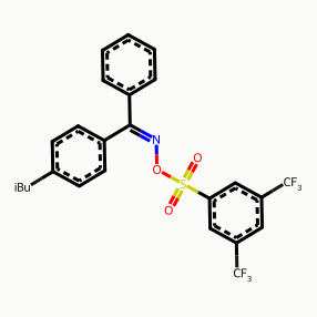 CCC(C)c1ccc(/C(=N\OS(=O)(=O)c2cc(C(F)(F)F)cc(C(F)(F)F)c2)c2ccccc2)cc1